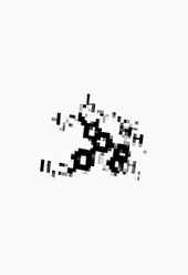 CC1=C2C3=NC=CC3=C1[Si]2(C)C.CCc1ccc(-c2cccc3c2C=C(C(C)C)[CH]3[Zr+2])cc1.[Cl-].[Cl-]